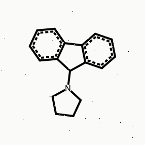 [CH]1CCCN1C1c2ccccc2-c2ccccc21